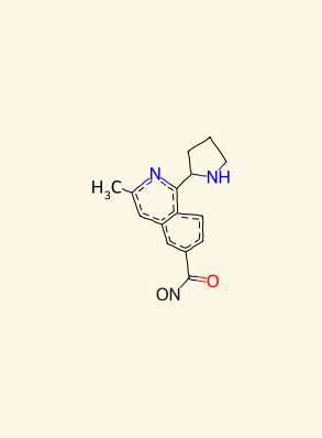 Cc1cc2cc(C(=O)N=O)ccc2c(C2CCCN2)n1